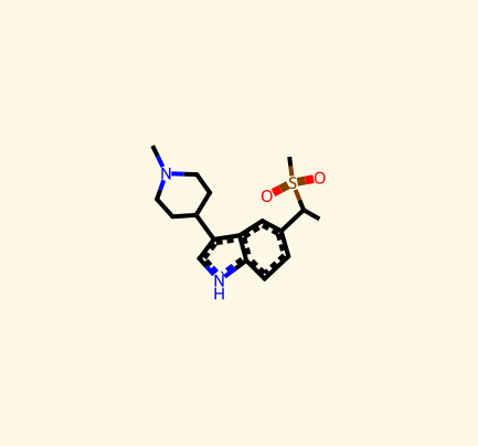 CC(c1ccc2[nH]cc(C3CCN(C)CC3)c2c1)S(C)(=O)=O